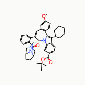 COc1ccc2c(c1)C=C(c1ccccc1C(=O)N1C3CCC1CN(C)C3)Cn1c-2c(C2CCCCC2)c2ccc(C(=O)OC(C)(C)C)cc21